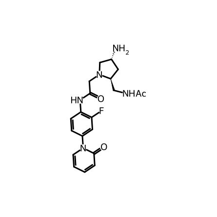 CC(=O)NC[C@@H]1C[C@@H](N)CN1CC(=O)Nc1ccc(-n2ccccc2=O)cc1F